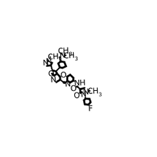 CN(C)Cc1cccc(-c2c(-c3cnn(C)c3)oc3ncc(C#N)c(Oc4ccc(NC(=O)c5cn(C)n(-c6ccc(F)cc6)c5=O)cc4)c23)c1